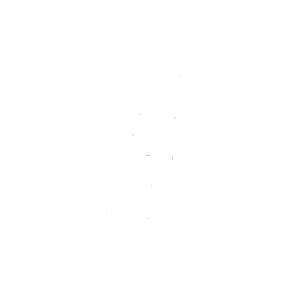 Cc1cccc2c1oc1cc(C3CC3)ccc12